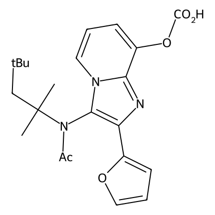 CC(=O)N(c1c(-c2ccco2)nc2c(OC(=O)O)cccn12)C(C)(C)CC(C)(C)C